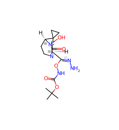 CC(C)(C)OC(=O)NO/C(=N\N)[C@@H]1CC2(CC2)[C@@H]2CCN1C(=O)N2O